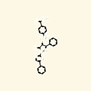 O=C(O)c1ccc(N/N=C2/C(=O)N(c3nc(-c4ccccc4)cs3)N=C2c2ccccc2)cc1